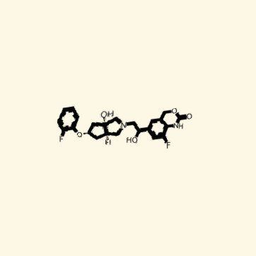 O=C1Nc2c(F)cc(C(O)CN3C[C@H]4C[C@H](Oc5ccccc5F)C[C@@]4(O)C3)cc2CO1